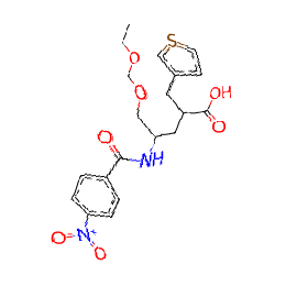 CCOCOCC(CC(Cc1ccsc1)C(=O)O)NC(=O)c1ccc([N+](=O)[O-])cc1